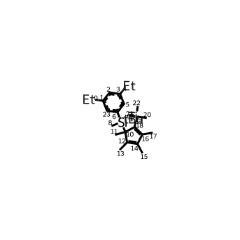 CCc1cc(CC)cc([Si](C)(C(C)(C)C)C2(C)C(C)=C(C)C(C)=[C]2[Ti]([CH3])([CH3])[CH3])c1